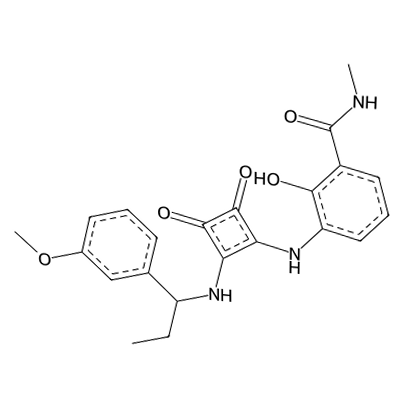 CCC(Nc1c(Nc2cccc(C(=O)NC)c2O)c(=O)c1=O)c1cccc(OC)c1